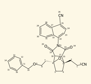 N#CCC[C@@]12CC[C@](CCOCc3ccccc3)(O1)C1C(=O)N(c3ccc(C#N)c4ccccc34)C(=O)C12